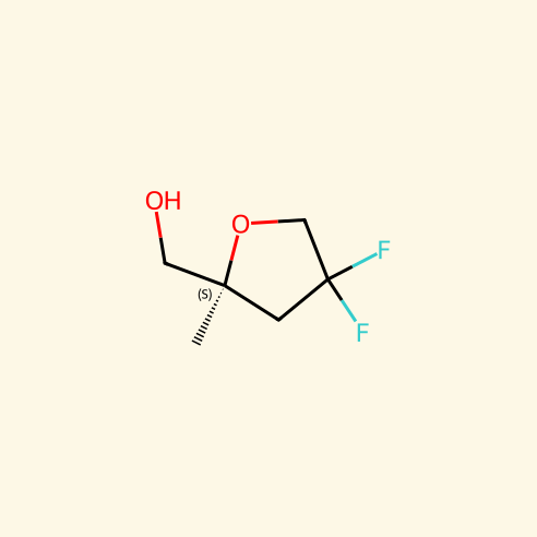 C[C@@]1(CO)CC(F)(F)CO1